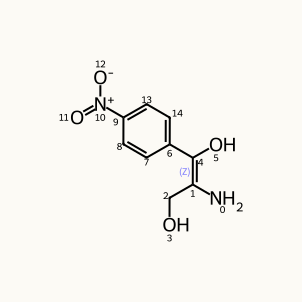 N/C(CO)=C(\O)c1ccc([N+](=O)[O-])cc1